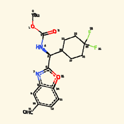 CC(C)(C)OC(=O)N[C@H](c1nc2cc(C=O)ccc2o1)C1CCC(F)(F)CC1